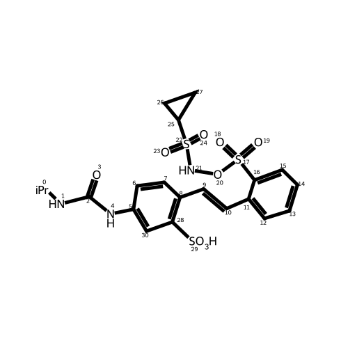 CC(C)NC(=O)Nc1ccc(C=Cc2ccccc2S(=O)(=O)ONS(=O)(=O)C2CC2)c(S(=O)(=O)O)c1